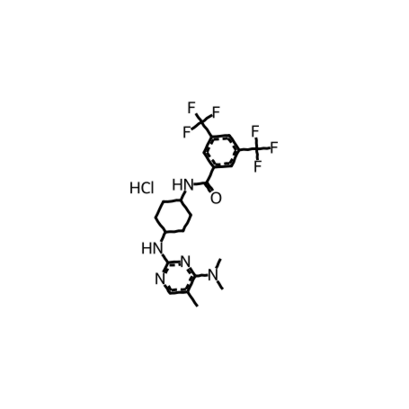 Cc1cnc(NC2CCC(NC(=O)c3cc(C(F)(F)F)cc(C(F)(F)F)c3)CC2)nc1N(C)C.Cl